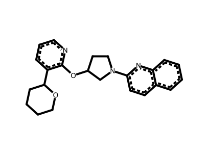 c1cnc(OC2CCN(c3ccc4ccccc4n3)C2)c(C2CCCCO2)c1